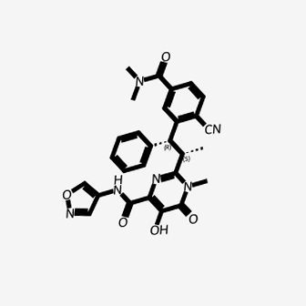 C[C@H](c1nc(C(=O)Nc2cnoc2)c(O)c(=O)n1C)[C@H](c1ccccc1)c1cc(C(=O)N(C)C)ccc1C#N